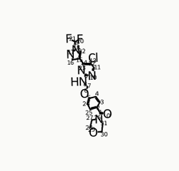 O=C(c1ccc(OCNc2ncc(Cl)c(-c3cnn(C(F)F)c3)n2)cc1)N1CCOCC1